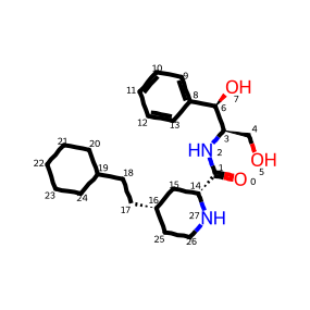 O=C(N[C@H](CO)[C@H](O)c1ccccc1)[C@H]1C[C@@H](CCC2CCCCC2)CCN1